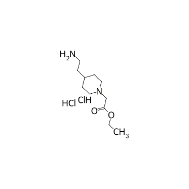 CCOC(=O)CN1CCC(CCN)CC1.Cl.Cl